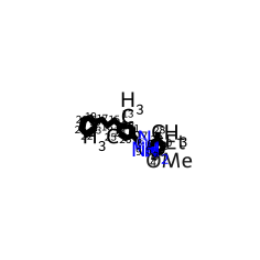 CCc1cc(OC)nc(/N=C(\N)c2cc(C)c(CCCc3ccccc3)c(C)c2)c1C